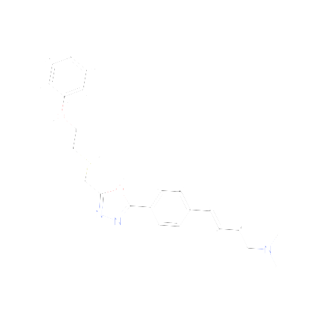 CN(C)CCC=Cc1ccc(-c2nnc(CSCCOc3ccccc3)o2)cc1